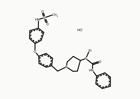 CCN(C(=O)Nc1ccccc1)C1CCN(Cc2ccc(Oc3ccc(NS(C)(=O)=O)cc3)cc2)CC1.Cl